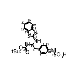 CC(C)(C)OC(=O)N[C@H](Cc1ccc(NS(=O)(=O)O)cc1)Nc1nc2ccccc2s1